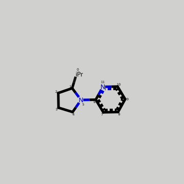 CC(C)C1CCCN1c1ccccn1